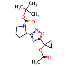 CC(=O)OC1(c2nc([C@@H]3CCCN3C(=O)OC(C)(C)C)no2)CC1